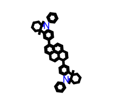 CC12CCCCC1(C)N(c1ccccc1)c1ccc(-c3ccc4c5c6c(ccc35)C=CC(c3ccc5c(c3)C3(C)CCCCC3(C)N5c3ccccc3)C6=CC4)cc12